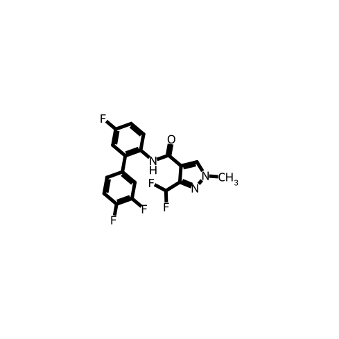 Cn1cc(C(=O)Nc2ccc(F)cc2-c2ccc(F)c(F)c2)c(C(F)F)n1